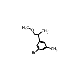 [CH2]C(COC)c1cc(C)cc(Br)c1